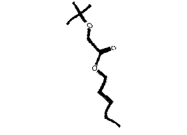 CCCCCOC(=O)COC(C)(C)C